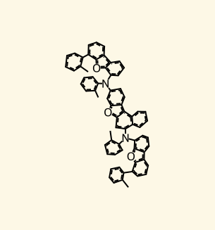 Cc1ccccc1-c1cccc2c1oc1c(N(c3ccc4c(c3)oc3cc(N(c5ccccc5C)c5cccc6c5oc5c(-c7ccccc7C)cccc56)c5ccccc5c34)c3ccccc3C)cccc12